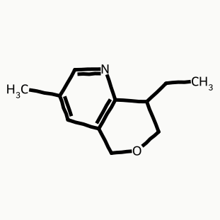 CCC1COCc2cc(C)cnc21